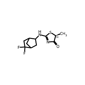 C[C@@H]1SC(NC2CC3CC2CC3(F)F)=NC1=O